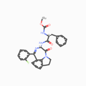 CC(C)(C)OC(=O)N[C@@H](Cc1ccccc1)C(=O)N[C@H]1N=C(c2ccccc2F)c2cccc3c2N(CC3)C1=O